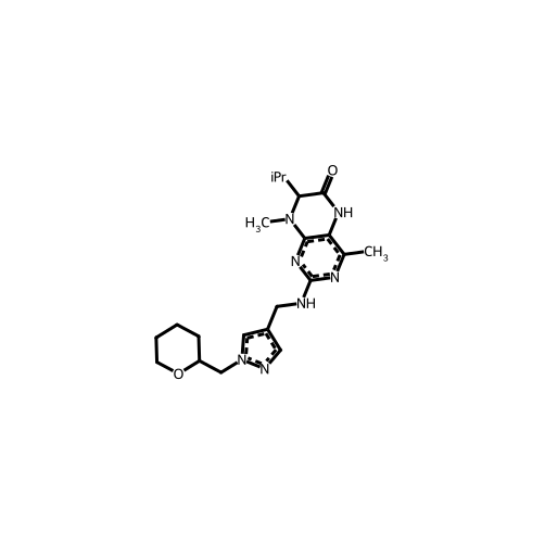 Cc1nc(NCc2cnn(CC3CCCCO3)c2)nc2c1NC(=O)C(C(C)C)N2C